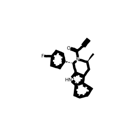 C#CC(=O)N1[C@@H](c2ccc(F)cc2)c2[nH]c3ccccc3c2C[C@@H]1C